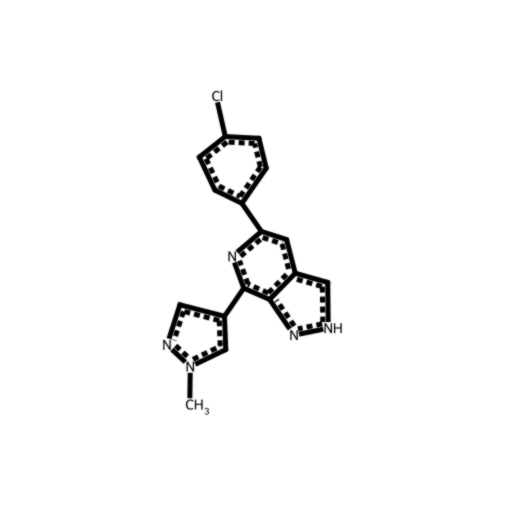 Cn1cc(-c2nc(-c3ccc(Cl)cc3)cc3c[nH]nc23)cn1